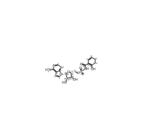 Nc1ncnc2c1ncn2[C@@H]1O[C@H](COS(=O)(=O)NC(=O)C2=C(O)CCC=C2)[C@@H](O)[C@H]1O